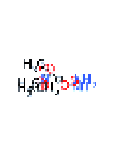 CCOC(=O)[C@H]1CN(C(=O)OC(C)(C)C)C[C@H]1Cc1ccc(OCCC(=N)ON)cc1